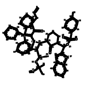 C=CCOC(=O)C(N1C(=O)[C@H]([C@@H](C)O[Si](C)(C)C(C)(C)C)[C@H]1[C@H]1CCCC(C(OS(=O)(=O)c2ccc(C)cc2)c2nc3ccccc3s2)C1=O)=P(c1ccccc1)(c1ccccc1)c1ccccc1